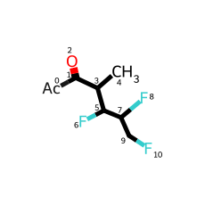 CC(=O)C(=O)C(C)C(F)C(F)CF